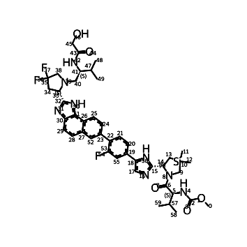 COC(=O)N[C@H](C(=O)N1C[Si](C)(C)C[C@H]1c1ncc(-c2ccc(-c3ccc4c(ccc5nc([C@@H]6CC(F)(F)CN6C[C@@H](NC(=O)CO)C(C)C)[nH]c54)c3)c(F)c2)[nH]1)C(C)C